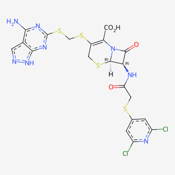 Nc1nc(SCSC2=C(C(=O)O)N3C(=O)[C@@H](NC(=O)CSc4cc(Cl)nc(Cl)c4)[C@H]3SC2)nc2[nH]ncc12